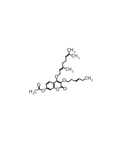 CCC=CCCOc1c(OC/C=C(\C)CCC=C(C)C)c2ccc(OC(C)=O)cc2oc1=O